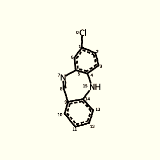 Clc1ccc2c(c1)N=Cc1ccccc1N2